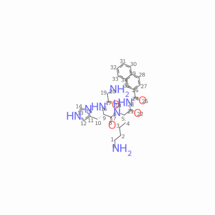 NCCCC[C@H](NC(=O)[C@H](Cc1c[nH]cn1)NC(=O)CN)C(=O)NC(=O)c1ccc2ccccc2c1